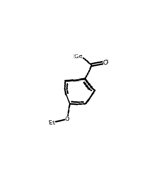 CCOc1ccc([C](=O)[Ge])cc1